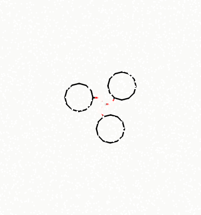 C1CCCCCC(OB(OC2CCCCCCCCCCC2)OC2CCCCCCCCCCC2)CCCCC1